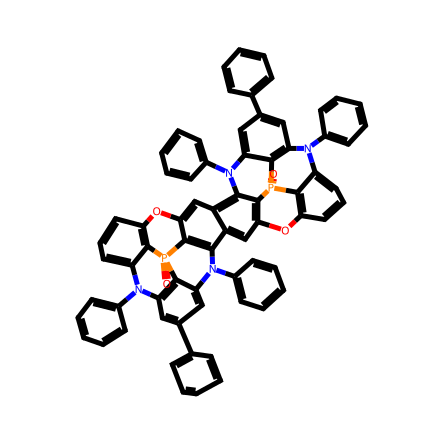 O=P12c3c4cccc3N(c3ccccc3)c3cc(-c5ccccc5)cc(c31)N(c1ccccc1)c1c2c(cc2c3c5c(cc12)Oc1cccc2c1P5(=O)c1c(cc(-c5ccccc5)cc1N3c1ccccc1)N2c1ccccc1)O4